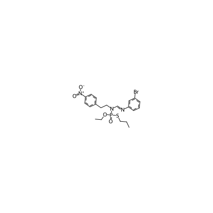 CCCSP(=O)(OCC)N(C=Nc1cccc(Br)c1)CCc1ccc([N+](=O)[O-])cc1